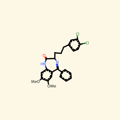 COc1cc2c(cc1OC)C(c1ccccc1)=NC(CCCc1ccc(Cl)c(Cl)c1)C(=O)N2